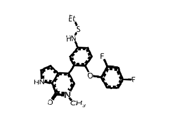 CCSNc1ccc(Oc2ccc(F)cc2F)c(-c2cn(C)c(=O)c3[nH]ccc23)c1